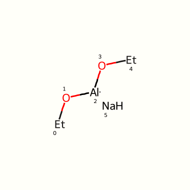 CC[O][Al][O]CC.[NaH]